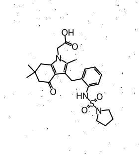 Cc1c(Cc2ccccc2NS(=O)(=O)N2CCCC2)c2c(n1CC(=O)O)CC(C)(C)CC2=O